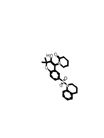 CC1(C)Oc2ccc(S(=O)(=O)N3CCCc4ccccc43)cc2C(N2CCCCC2=O)=C1O